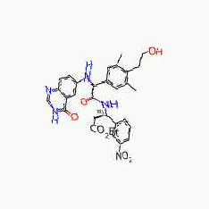 CCOC(=O)C[C@@H](NC(=O)C(Nc1ccc2nc[nH]c(=O)c2c1)c1cc(C)c(CCO)c(C)c1)c1cccc([N+](=O)[O-])c1